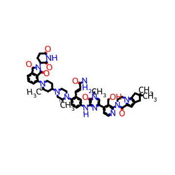 C[C@H]1CN(C2CCN(c3cccc4c3C(=O)N(C3CCC(=O)NC3=O)C4=O)[C@@H](C)C2)CCN1c1ccc(Nc2nc(-c3ccnc(N4CCn5c(cc6c5CC(C)(C)C6)C4=O)c3CO)cn(C)c2=O)cc1C=CC(N)=O